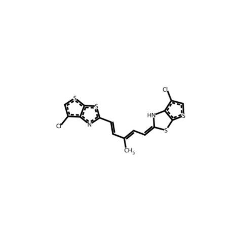 CC(C=Cc1nc2c(Cl)csc2s1)=CC=C1Nc2c(Cl)csc2S1